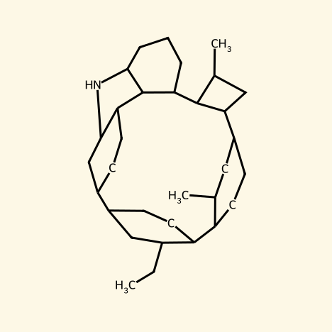 CCC1CC2CCC1C1CCC(CC1C)C1CC(C)C1C1CCCC3NC4CC2CCC4C31